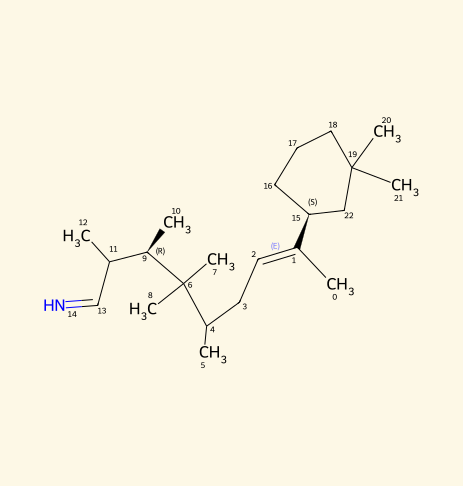 C/C(=C\CC(C)C(C)(C)[C@H](C)C(C)C=N)[C@H]1CCCC(C)(C)C1